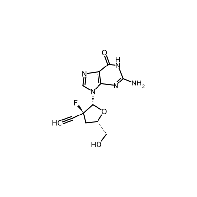 C#C[C@@]1(F)C[C@@H](CO)O[C@H]1n1cnc2c(=O)[nH]c(N)nc21